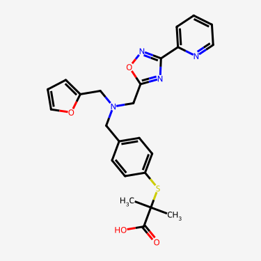 CC(C)(Sc1ccc(CN(Cc2ccco2)Cc2nc(-c3ccccn3)no2)cc1)C(=O)O